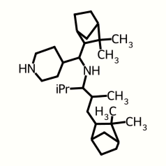 CC(C)C(NC(C1CCNCC1)C1C2CCC(C2)C1(C)C)C(C)CC1C2CCC(C2)C1(C)C